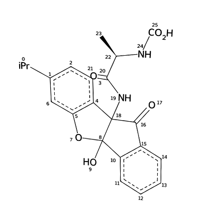 CC(C)c1ccc2c(c1)OC1(O)c3ccccc3C(=O)C21NC(=O)[C@@H](C)NC(=O)O